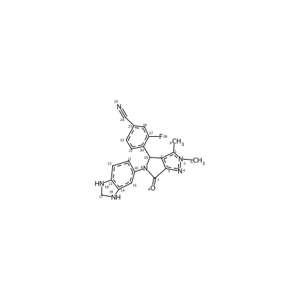 Cc1c2c(nn1C)C(=O)N(c1ccc3c(c1)NCN3)C2c1ccc(C#N)cc1F